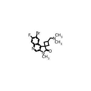 CN(C)CC1CC2(C1)C(=O)N(C)c1cnc3cc(F)c(Br)cc3c12